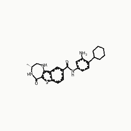 C[C@@H]1CNc2c(sc3ccc(C(=O)Nc4ccc(C5CCCCC5)c(N)c4)cc23)C(=O)N1